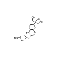 CC(C)(C)C1CCC(Oc2ccc3cc(C(N)(CO)CO)ccc3c2I)CC1